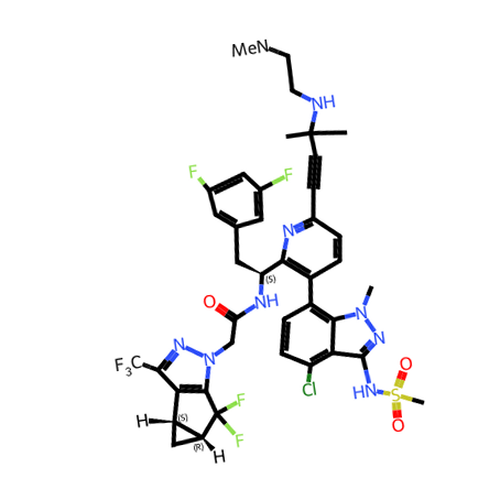 CNCCNC(C)(C)C#Cc1ccc(-c2ccc(Cl)c3c(NS(C)(=O)=O)nn(C)c23)c([C@H](Cc2cc(F)cc(F)c2)NC(=O)Cn2nc(C(F)(F)F)c3c2C(F)(F)[C@@H]2C[C@H]32)n1